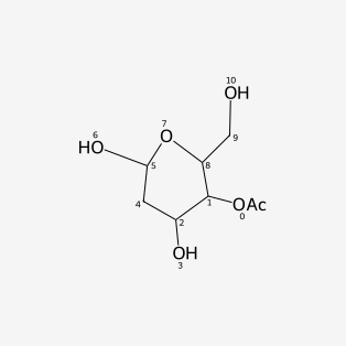 CC(=O)OC1C(O)CC(O)OC1CO